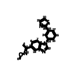 CON=C(C)c1ccc2c(c1)ncn2-c1cccc(-c2nccs2)c1